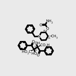 C[C@@H]1CCN(Cc2ccccc2)C[C@@H]1OC(N)=O.O=C(O)[C@@](O)(C(=O)c1ccccc1)[C@@](O)(C(=O)O)C(=O)c1ccccc1